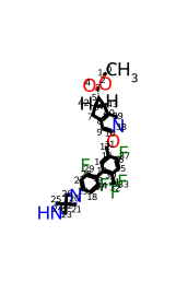 CCOC(=O)[C@H]1[C@@H]2Cc3cc(OCc4cc(-c5ccc(N6CC7(CNC7)C6)cc5F)c(C(F)(F)F)cc4F)ncc3[C@@H]21